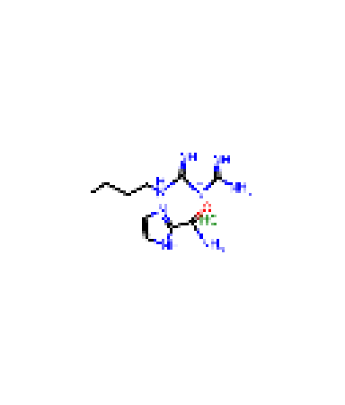 CCCCNC(=N)NC(=N)N.Cl.NC(=O)c1ncc[nH]1